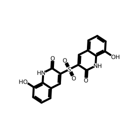 O=c1[nH]c2c(O)cccc2cc1S(=O)(=O)c1cc2cccc(O)c2[nH]c1=O